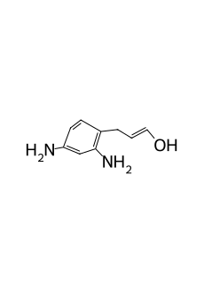 Nc1ccc(CC=CO)c(N)c1